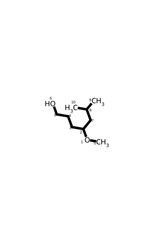 COC(CCCO)CC(C)C